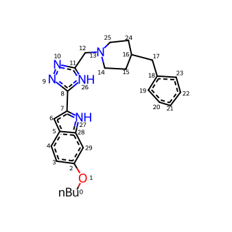 CCCCOc1ccc2cc(-c3nnc(CN4CCC(Cc5ccccc5)CC4)[nH]3)[nH]c2c1